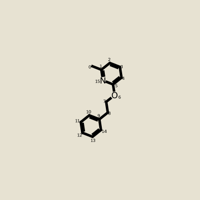 Cc1cccc(OCCc2ccccc2)n1